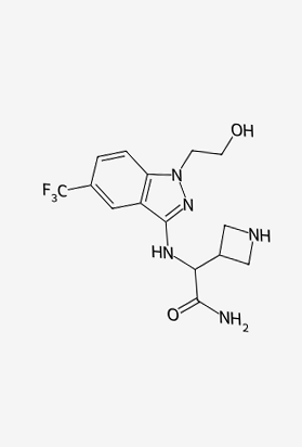 NC(=O)C(Nc1nn(CCO)c2ccc(C(F)(F)F)cc12)C1CNC1